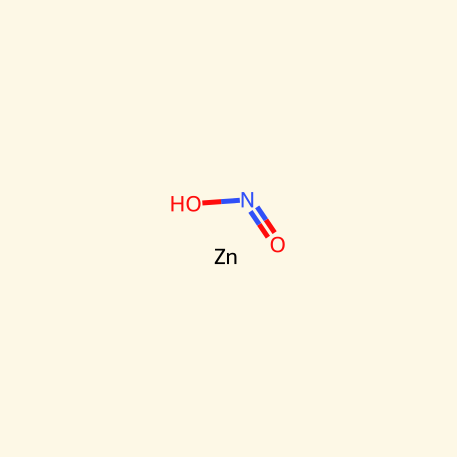 O=NO.[Zn]